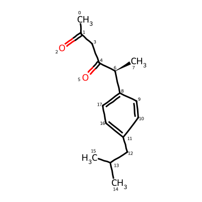 CC(=O)CC(=O)[C@@H](C)c1ccc(CC(C)C)cc1